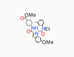 CCN(C(=O)Cn1c(C(=O)N[C@H]2CC[C@H](C(=O)OC)CC2)cc2ccc(OC)cc21)c1cccc(C)c1